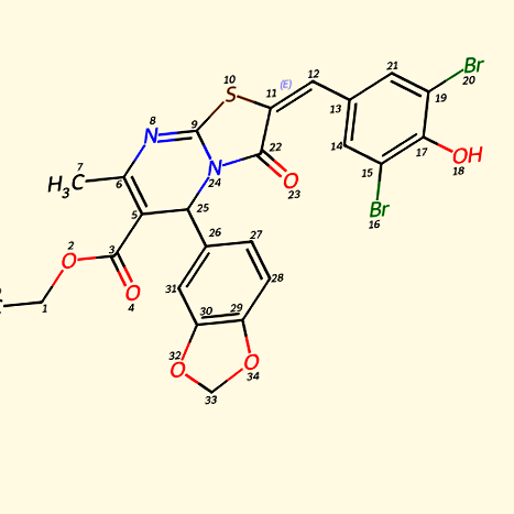 CCOC(=O)C1=C(C)N=c2s/c(=C/c3cc(Br)c(O)c(Br)c3)c(=O)n2C1c1ccc2c(c1)OCO2